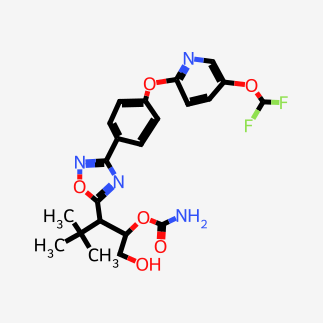 CC(C)(C)C(c1nc(-c2ccc(Oc3ccc(OC(F)F)cn3)cc2)no1)C(CO)OC(N)=O